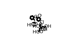 COc1cc(Cl)ccc1Oc1ccccc1C[C@H]1CNCCO1.O=C(O)CC(O)(CC(=O)O)C(=O)O